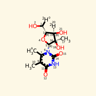 [2H]C(O)[C@H]1O[C@@H](n2c(C)c(C)c(=O)[nH]c2=O)[C@](C)(O)[C@]1([2H])O